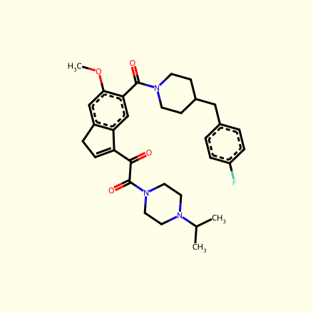 COc1cc2c(cc1C(=O)N1CCC(Cc3ccc(F)cc3)CC1)C(C(=O)C(=O)N1CCN(C(C)C)CC1)=CC2